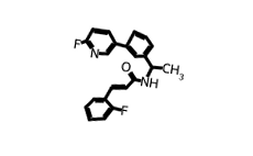 CC(NC(=O)/C=C/c1ccccc1F)c1cccc(-c2ccc(F)nc2)c1